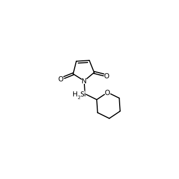 O=C1C=CC(=O)N1[SiH2]C1CCCCO1